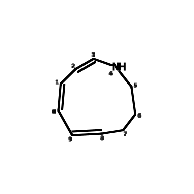 C1=CC=CNCCCC=C1